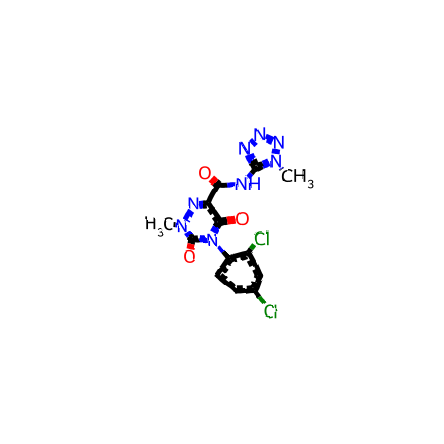 Cn1nnnc1NC(=O)c1nn(C)c(=O)n(-c2ccc(Cl)cc2Cl)c1=O